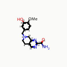 COc1ccc(CN2CCc3[c]nc(C(N)=O)nc3C2)cc1O